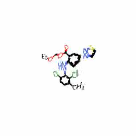 CCOCOC(=O)c1ccccc1Nc1c(Cl)ccc(C)c1Cl.c1csnn1